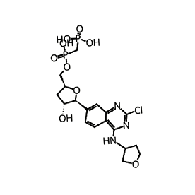 O=P(O)(O)CP(=O)(O)OC[C@@H]1C[C@@H](O)[C@H](c2ccc3c(NC4CCOC4)nc(Cl)nc3c2)O1